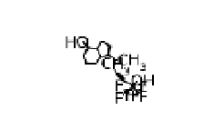 CC(CC#CC(O)(C(F)(F)F)C(F)(F)F)C1=CCC2C(O)CCCC12C